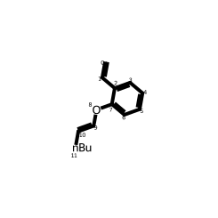 C=Cc1ccccc1OC=CCCCC